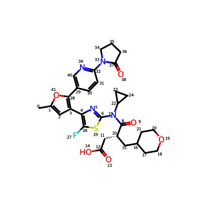 Cc1cc(-c2nc(N(C(=O)[C@@H](CC(=O)O)CC3CCOCC3)C3CC3)sc2F)c(-c2ccc(N3CCCC3=O)nc2)o1